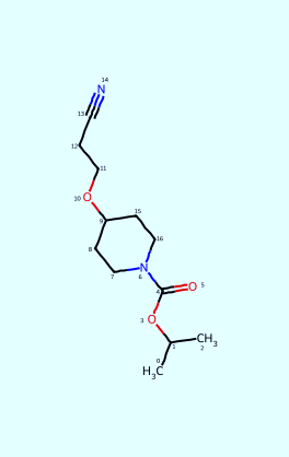 CC(C)OC(=O)N1CCC(OCCC#N)CC1